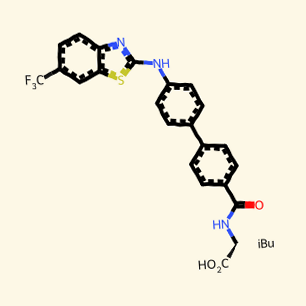 CC[C@H](C)[C@H](NC(=O)c1ccc(-c2ccc(Nc3nc4ccc(C(F)(F)F)cc4s3)cc2)cc1)C(=O)O